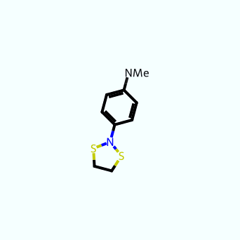 CNc1ccc(N2SCCS2)cc1